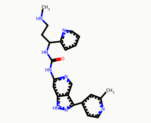 CNCCC(NC(=O)Nc1cc2[nH]nc(-c3ccnc(C)c3)c2cn1)c1ccccn1